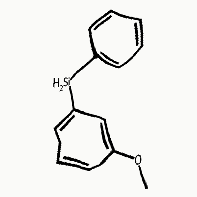 COc1cccc([SiH2]c2ccccc2)c1